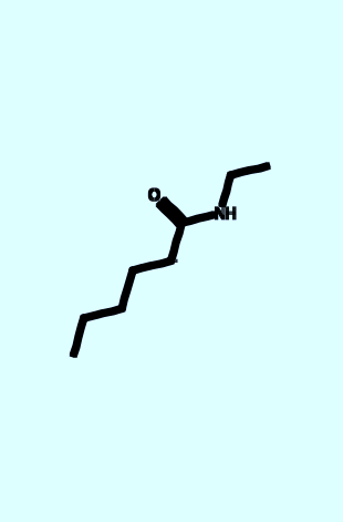 CCCC[CH]C(=O)NCC